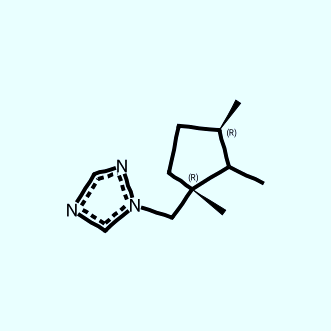 CC1[C@H](C)CC[C@@]1(C)Cn1cncn1